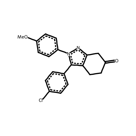 COc1ccc(-n2nc3c(c2-c2ccc(Cl)cc2)CCC(=O)C3)cc1